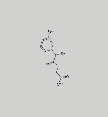 C=C(CCC(=O)O)C(O)c1cccc(OC)c1